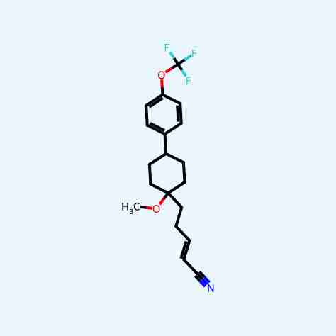 COC1(CCC=CC#N)CCC(c2ccc(OC(F)(F)F)cc2)CC1